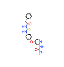 CN(C)C(=O)Nc1cc(Oc2ccc(NC(=S)NC(=O)Cc3ccc(F)cc3)cc2)ccn1